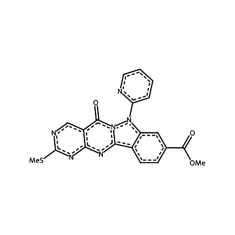 COC(=O)c1ccc2c(c1)n(-c1ccccn1)n1c(=O)c3cnc(SC)nc3nc21